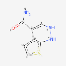 NC(=O)C1=CNNc2sccc21